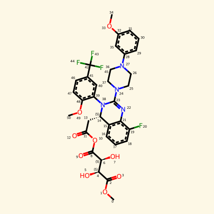 COC(=O)[C@@H](O)[C@H](O)C(=O)OC(=O)C[C@H]1c2cccc(F)c2N=C(N2CCN(c3cccc(OC)c3)CC2)N1c1cc(C(F)(F)F)ccc1OC